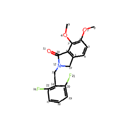 COc1ccc2c(c1OC)C(=O)N(Cc1c(F)cccc1F)C2